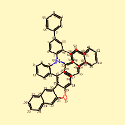 c1ccc(-c2ccc(N(c3ccccc3-c3cccc4oc5cc6ccccc6cc5c34)c3cccc4c3ccc3ccccc34)c(-c3ccccc3)c2)cc1